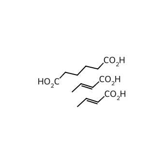 CC=CC(=O)O.CC=CC(=O)O.O=C(O)CCCCC(=O)O